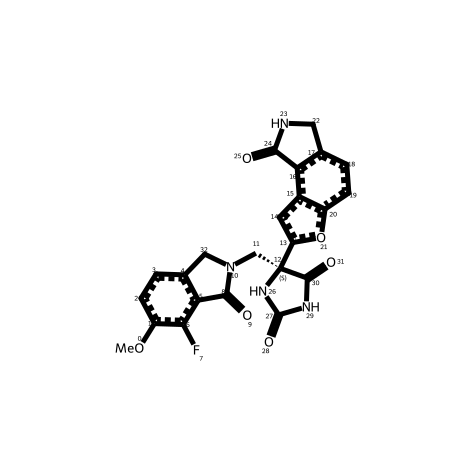 COc1ccc2c(c1F)C(=O)N(C[C@@]1(c3cc4c5c(ccc4o3)CNC5=O)NC(=O)NC1=O)C2